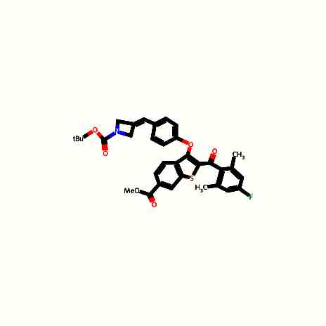 COC(=O)c1ccc2c(Oc3ccc(C=C4CN(C(=O)OC(C)(C)C)C4)cc3)c(C(=O)c3c(C)cc(F)cc3C)sc2c1